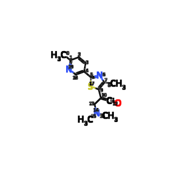 Cc1ccc(-c2nc(C)c(C(=C=O)CN(C)C)s2)cn1